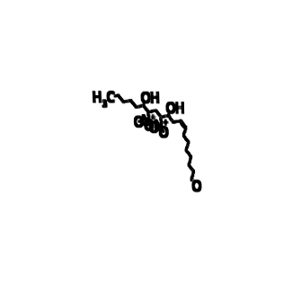 CCCCCC(O)C(CC(C(O)C/C=C\CCCCCCC=O)[N+](=O)[O-])[N+](=O)[O-]